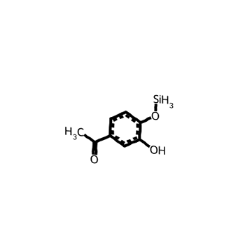 CC(=O)c1ccc(O[SiH3])c(O)c1